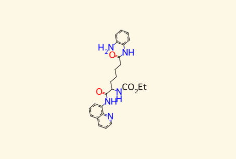 CCOC(=O)NC(CCCCC(=O)Nc1ccccc1N)C(=O)Nc1cccc2cccnc12